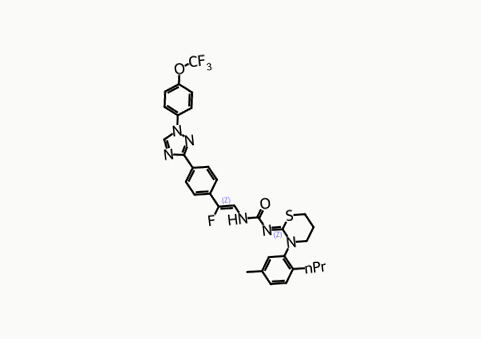 CCCc1ccc(C)cc1N1CCCS/C1=N\C(=O)N/C=C(\F)c1ccc(-c2ncn(-c3ccc(OC(F)(F)F)cc3)n2)cc1